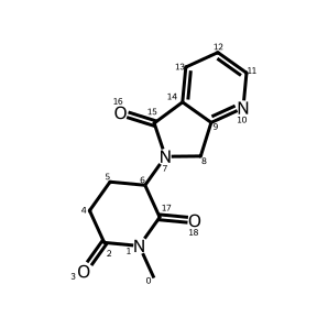 CN1C(=O)CCC(N2Cc3ncccc3C2=O)C1=O